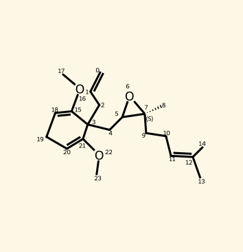 C=CCC1(CC2O[C@@]2(C)CCC=C(C)C)C(OC)=CCC=C1OC